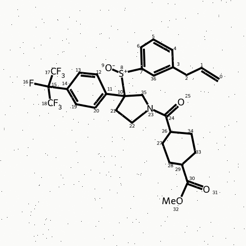 C=CCc1cccc([S+]([O-])C2(c3ccc(C(F)(C(F)(F)F)C(F)(F)F)cc3)CCN(C(=O)C3CCC(C(=O)OC)CC3)C2)c1